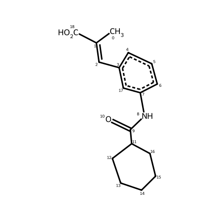 CC(=Cc1cccc(NC(=O)C2CCCCC2)c1)C(=O)O